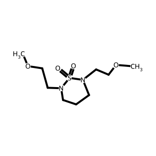 COCCN1CCCN(CCOC)S1(=O)=O